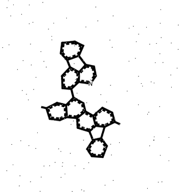 Cc1ccc2c(c1)c(-c1ccc3c4c(ccnc14)-c1ccccc1-3)cc1c3ccc(C)c4c3c(cc21)-c1ccccc1-4